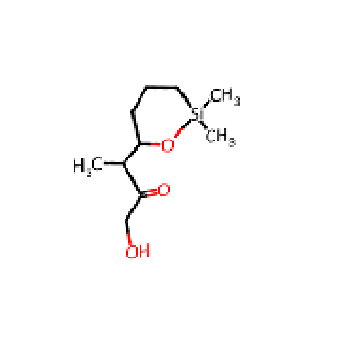 CC(C(=O)CO)C1CCC[Si](C)(C)O1